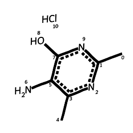 Cc1nc(C)c(N)c(O)n1.Cl